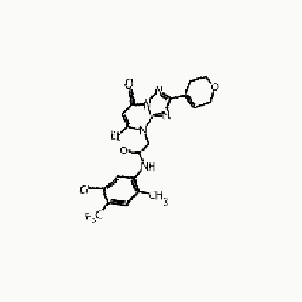 CCc1cc(=O)n2nc(C3=CCOCC3)nc2n1CC(=O)Nc1cc(Cl)c(C(F)(F)F)cc1C